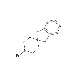 CC(C)N1CCC2(CC1)Cc1ccncc1C2